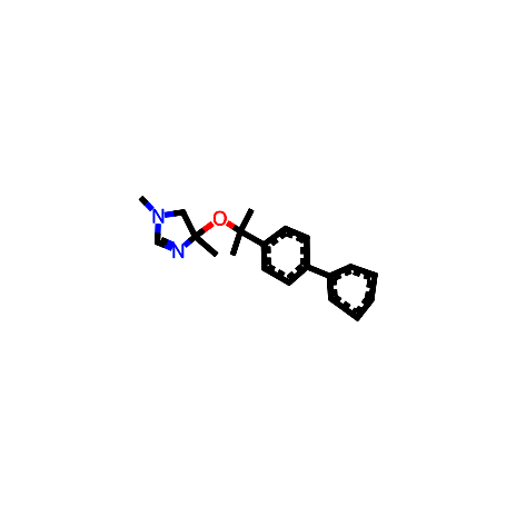 CN1C=NC(C)(OC(C)(C)c2ccc(-c3ccccc3)cc2)C1